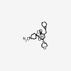 CN1CCC(C#N)(NC(=O)C(CC(=O)N2CCOCC2)CC2C3CCCCC32)CC1